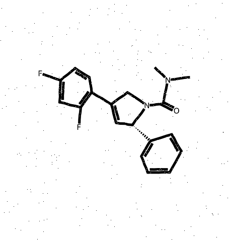 CN(C)C(=O)N1CC(c2ccc(F)cc2F)=C[C@H]1c1ccccc1